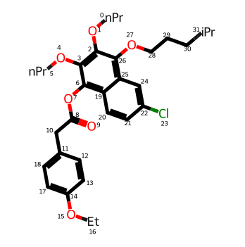 CCCOc1c(OCCC)c(OC(=O)Cc2ccc(OCC)cc2)c2ccc(Cl)cc2c1OCCCC(C)C